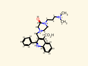 CN(C)CCCN1CCN(Cc2c(-c3ccccc3)nc3ccccc3c2C(=O)O)CC1=O